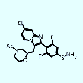 CC(=O)N1CCOC(Cc2c(-c3c(F)cc(SN)cc3F)nc3cc(Cl)ccn23)C1